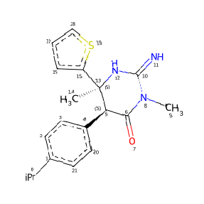 CC(C)c1ccc([C@@H]2C(=O)N(C)C(=N)N[C@]2(C)c2cccs2)cc1